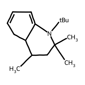 CC1CC(C)(C)N(C(C)(C)C)C2=CC=CCC21